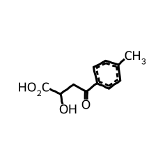 Cc1ccc(C(=O)CC(O)C(=O)O)cc1